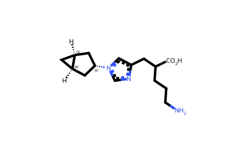 NCCCC(Cc1cn([C@@H]2C[C@H]3C[C@H]3C2)cn1)C(=O)O